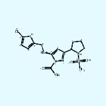 CC(C)(C)C(=O)n1nc(C2CCCN2S(C)(=O)=O)cc1NCc1ccc(Cl)s1